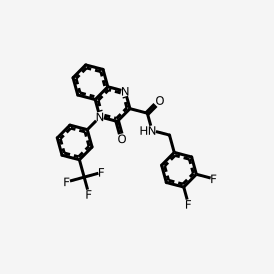 O=C(NCc1ccc(F)c(F)c1)c1nc2ccccc2n(-c2cccc(C(F)(F)F)c2)c1=O